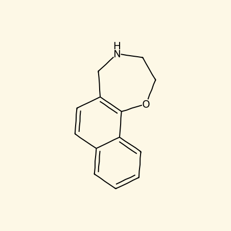 c1ccc2c3c(ccc2c1)CNCCO3